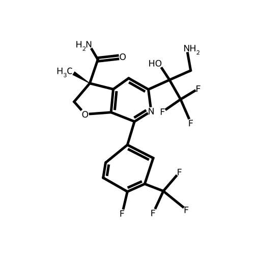 C[C@]1(C(N)=O)COc2c1cc(C(O)(CN)C(F)(F)F)nc2-c1ccc(F)c(C(F)(F)F)c1